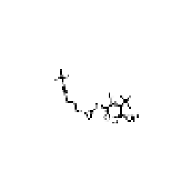 CC(C)(C)C#CCCC[C@@H]1C[C@H]1OC(=O)NC(C(=O)O)C(C)(C)C